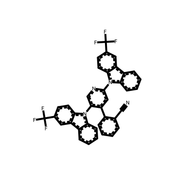 N#Cc1ccccc1-c1cc(-n2c3ccccc3c3cc(C(F)(F)F)ccc32)ncc1-n1c2ccccc2c2cc(C(F)(F)F)ccc21